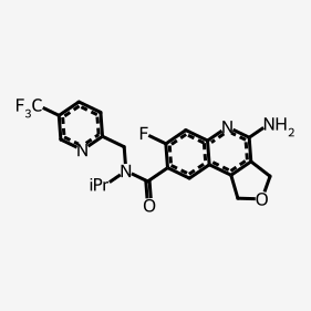 CC(C)N(Cc1ccc(C(F)(F)F)cn1)C(=O)c1cc2c3c(c(N)nc2cc1F)COC3